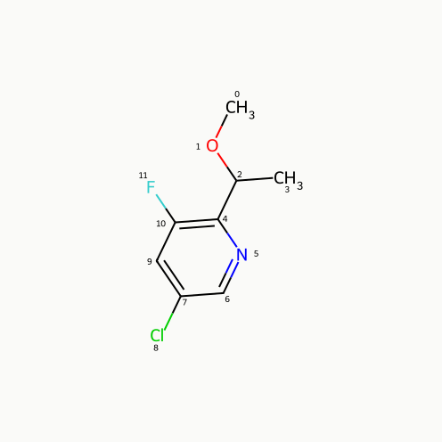 COC(C)c1ncc(Cl)cc1F